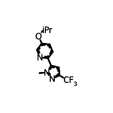 CC(C)Oc1ccc(-c2cc(C(F)(F)F)nn2C)nc1